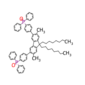 CCCCCCCCC1(CCCCCCCC)c2cc(C)c(-c3ccc(P(=O)(c4ccccc4)c4ccccc4)cc3)cc2-c2cc(-c3ccc(P(=O)(c4ccccc4)c4ccccc4)cc3)c(C)cc21